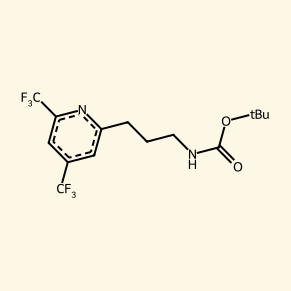 CC(C)(C)OC(=O)NCCCc1cc(C(F)(F)F)cc(C(F)(F)F)n1